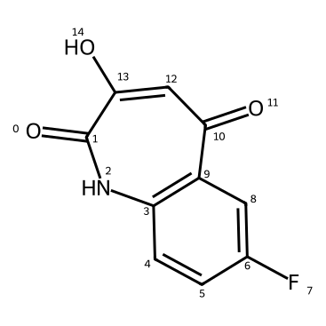 O=c1[nH]c2ccc(F)cc2c(=O)cc1O